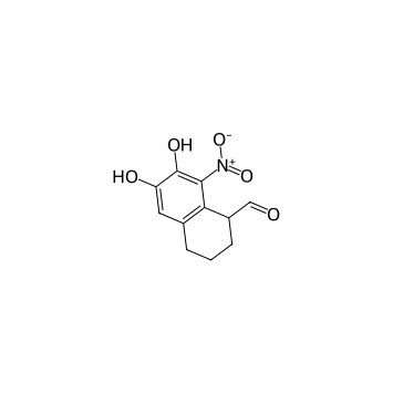 O=CC1CCCc2cc(O)c(O)c([N+](=O)[O-])c21